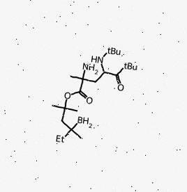 BC(C)(CC)CC(C)(C)OC(=O)C(C)(N)CC(NC(C)(C)C)C(=O)C(C)(C)C